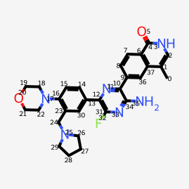 Cc1c[nH]c(=O)c2ccc(-c3nc(-c4ccc(N5CCOCC5)c(CN5CCCC5)c4)c(F)nc3N)cc12